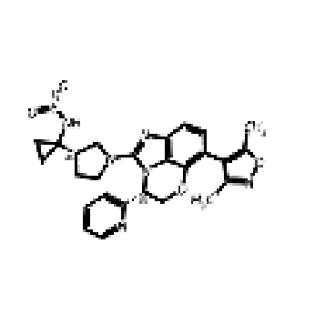 Cc1noc(C)c1-c1ccc2nc(N3CC[C@@H](C4(N[SH](=O)=O)CC4)C3)n3c2c1OC[C@@H]3c1ccccn1